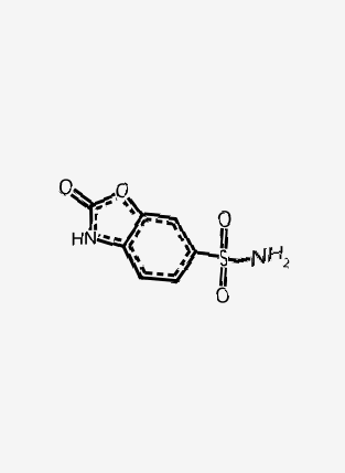 NS(=O)(=O)c1ccc2[nH]c(=O)oc2c1